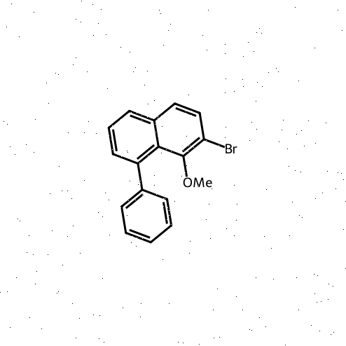 COc1c(Br)ccc2cccc(-c3ccccc3)c12